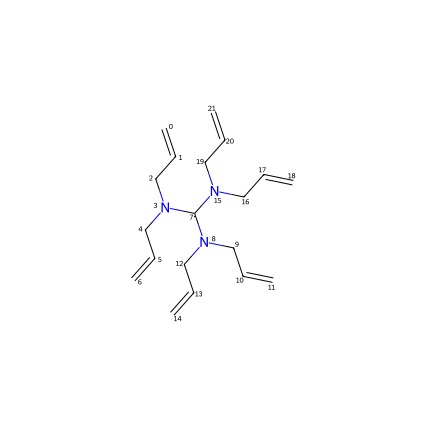 C=CCN(CC=C)[C](N(CC=C)CC=C)N(CC=C)CC=C